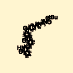 CC(C)(C)OC(=O)N1CC(N2CC(N3CCC(C(=O)N4CCN(C(=O)c5cc(Cc6n[nH]c(=O)c7ccccc67)ccc5F)CC4)CC3)C2)C1